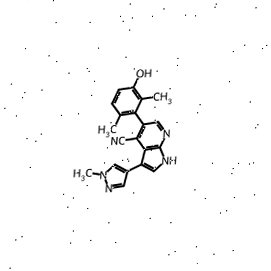 Cc1ccc(O)c(C)c1-c1cnc2[nH]cc(-c3cnn(C)c3)c2c1C#N